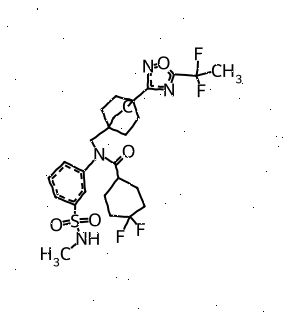 CNS(=O)(=O)c1cccc(N(CC23CCC(c4noc(C(C)(F)F)n4)(CC2)CC3)C(=O)C2CCC(F)(F)CC2)c1